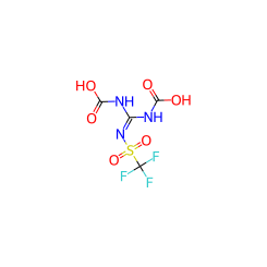 O=C(O)NC(=NS(=O)(=O)C(F)(F)F)NC(=O)O